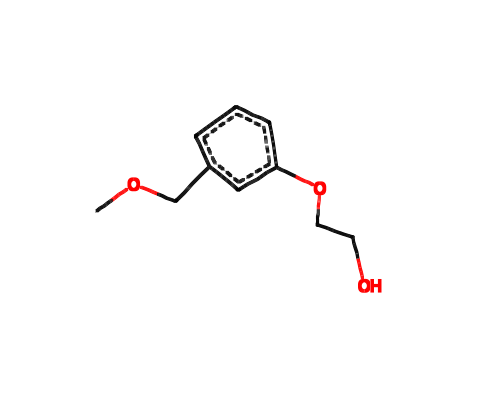 COCc1cccc(OCCO)c1